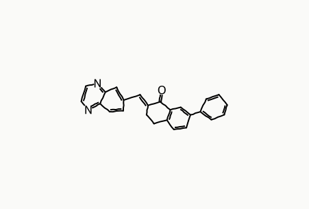 O=C1/C(=C/c2ccc3nccnc3c2)CCc2ccc(-c3ccccc3)cc21